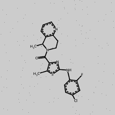 Cc1sc(Nc2ccc(Cl)cc2F)nc1C(=O)N1CCc2ncccc2C1C